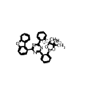 CC1(C)OB(c2ccccc2-c2nc(-c3ccccc3)nc(-c3cccc4oc5ccccc5c34)n2)OC1(C)C